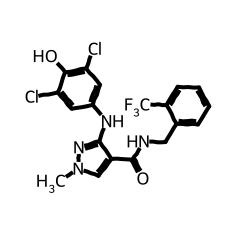 Cn1cc(C(=O)NCc2ccccc2C(F)(F)F)c(Nc2cc(Cl)c(O)c(Cl)c2)n1